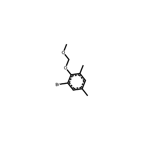 COCOc1c(C)cc(C)cc1Br